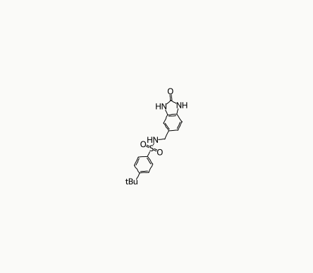 CC(C)(C)c1ccc(S(=O)(=O)NCc2ccc3[nH]c(=O)[nH]c3c2)cc1